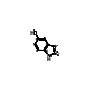 Oc1ccc2c(c1)N=[N+]N2